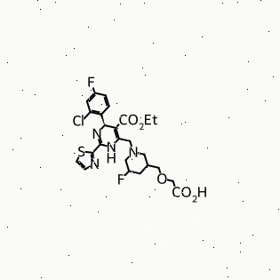 CCOC(=O)C1=C(CN2CC(F)CC(COCC(=O)O)C2)NC(c2nccs2)=N[C@H]1c1ccc(F)cc1Cl